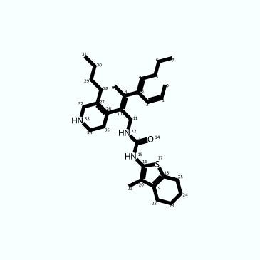 C\C=C/C(=C\CCC)C(/C)=C(\CNC(=O)Nc1sc2c(c1C)CCCC2)C1=C(CCCC)CNCC1